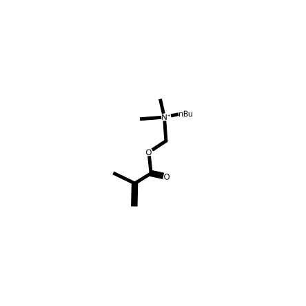 C=C(C)C(=O)OC[N+](C)(C)CCCC